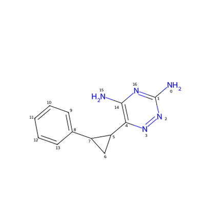 Nc1nnc(C2CC2c2ccccc2)c(N)n1